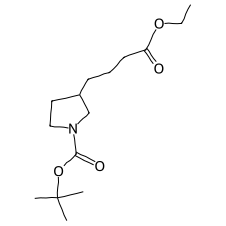 CCOC(=O)CCCC1CCN(C(=O)OC(C)(C)C)C1